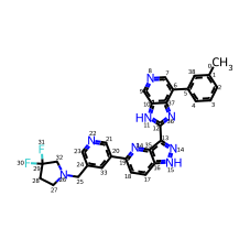 Cc1cccc(-c2cncc3[nH]c(-c4n[nH]c5ccc(-c6cncc(CN7CCC(F)(F)C7)c6)nc45)nc23)c1